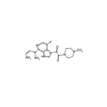 CN1CCN(C(=O)C(=O)c2c[nH]c3c(N(N)/C=C\N)ncc(F)c23)CC1